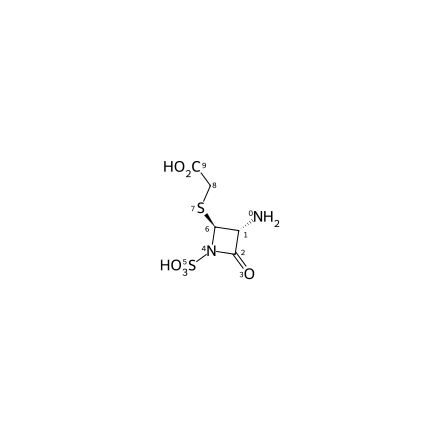 N[C@@H]1C(=O)N(S(=O)(=O)O)[C@H]1SCC(=O)O